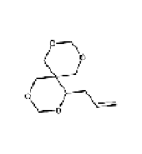 C=CCC1OCOCC12COCOC2